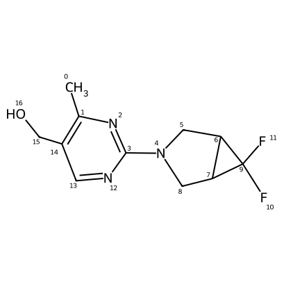 Cc1nc(N2CC3C(C2)C3(F)F)ncc1CO